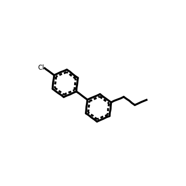 CCCc1cccc(-c2ccc(Cl)cc2)c1